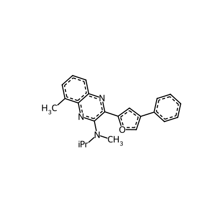 Cc1cccc2nc(-c3cc(-c4ccccc4)co3)c(N(C)C(C)C)nc12